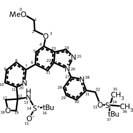 COCCOc1cc(-c2cccc(C3(N[S+]([O-])C(C)(C)C)COC3)n2)cc2c1cnn2-c1cccc(CO[Si](C)(C)C(C)(C)C)n1